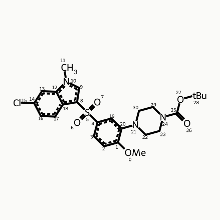 COc1ccc(S(=O)(=O)c2cn(C)c3cc(Cl)ccc23)cc1N1CCN(C(=O)OC(C)(C)C)CC1